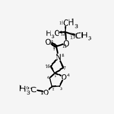 COC1COC2(C1)CN(C(=O)OC(C)(C)C)C2